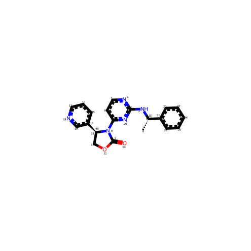 C[C@H](Nc1nccc(N2C(=O)OC[C@H]2c2cccnc2)n1)c1ccccc1